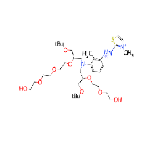 Cc1c(/N=N/c2scc[n+]2C)cccc1N(CC(COC(C)(C)C)OCCOCCO)CC(COC(C)(C)C)OCCOCCOCCO